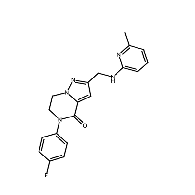 Cc1cccc(NCc2cc3n(n2)CCN(c2ccc(F)cc2)C3=O)n1